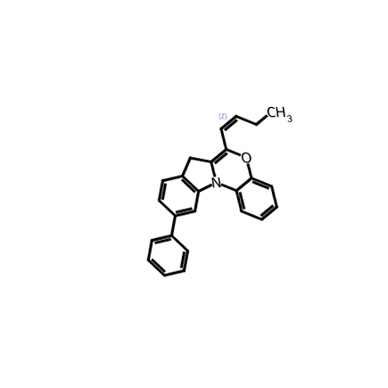 CC/C=C\C1=C2Cc3ccc(-c4ccccc4)cc3N2c2ccccc2O1